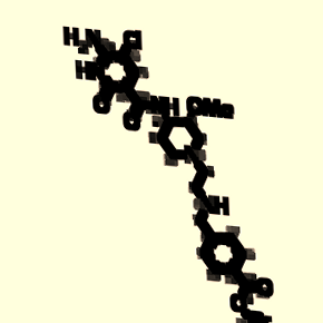 CO[C@@H]1CN(CCNCc2ccc(C(=O)OC(C)C)cc2)CC[C@@H]1NC(=O)c1cc(Cl)c(N)[nH]c1=O